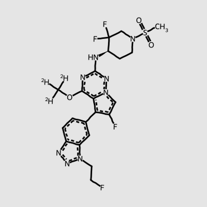 [2H]C([2H])([2H])Oc1nc(N[C@@H]2CCN(S(C)(=O)=O)CC2(F)F)nn2cc(F)c(-c3ccc4nnn(CCF)c4c3)c12